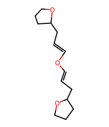 C(=COC=CCC1CCCO1)CC1CCCO1